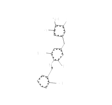 Cc1cc(Cc2cc(C)c(/N=C/c3ccccc3O)c(C(C)C)c2)cc(C(C)C)c1N